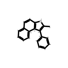 Cc1oc2ccc3ccccc3c2c1-c1ccccc1